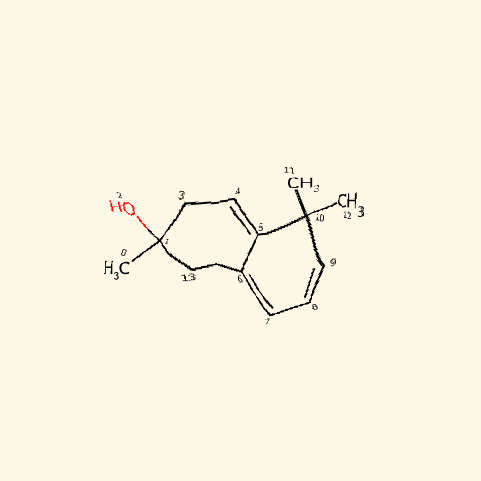 CC1(O)CC=C2C(=CC=CC2(C)C)C1